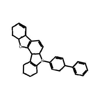 C1=CC2C3=C(OC2CC1)C1C2=C(CCCC2)N(C2=CCC(c4ccccc4)C=C2)C1C=C3